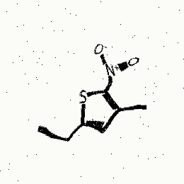 CCc1cc(C)c([N+](=O)[O-])s1